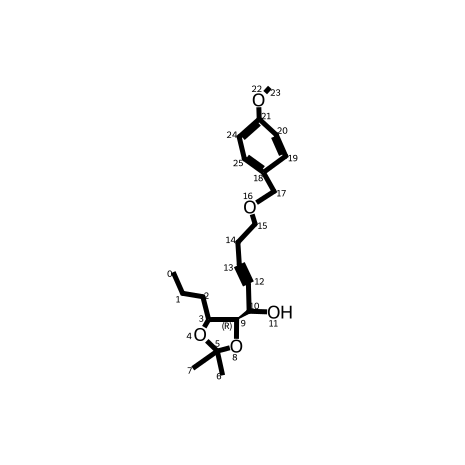 CCCC1OC(C)(C)O[C@@H]1C(O)C#CCCOCc1ccc(OC)cc1